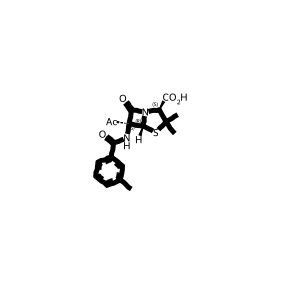 CC(=O)[C@]1(NC(=O)c2cccc(C)c2)C(=O)N2[C@@H](C(=O)O)C(C)(C)S[C@@H]21